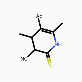 CC(=O)C1=C(C)NC(=S)C(C#N)C1C